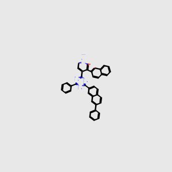 C1=C(c2nc(-c3ccccc3)nc(-c3ccc4ccc(-c5ccccc5)cc4c3)n2)c2c(oc3c2ccc2ccccc23)NC1